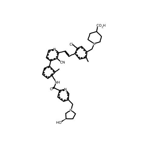 Cc1cc(/C=C/c2nccc(-c3cccc(NC(=O)c4ccc(CN5CC[C@@H](O)C5)cn4)c3C)c2C#N)c(Cl)cc1CN1CCC(C(=O)O)CC1